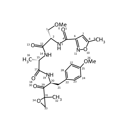 COC[C@H](NC(=O)c1cc(C)on1)C(=O)N[C@@H](C)C(=O)N[C@@H](Cc1ccc(OC)cc1)C(=O)C1(C)CO1